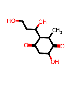 CC1C(=O)C(O)CC(=O)C1C(O)CCO